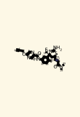 C#CCOc1cnc(C(=O)Nc2ccc(F)c([C@]3(CF)C[C@](C)(/C=C/C(=O)N(C)C)SC(N)=N3)c2)cn1